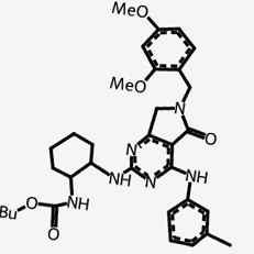 COc1ccc(CN2Cc3nc(NC4CCCCC4NC(=O)OC(C)(C)C)nc(Nc4cccc(C)c4)c3C2=O)c(OC)c1